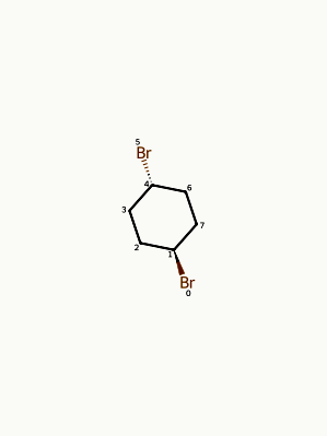 Br[C@H]1CC[C@H](Br)CC1